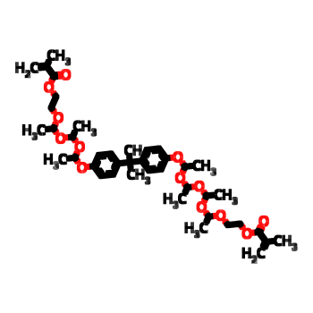 C=C(C)C(=O)OCCOC(C)OC(C)OC(C)Oc1ccc(C(C)(C)c2ccc(OC(C)OC(C)OC(C)OC(C)OCCOC(=O)C(=C)C)cc2)cc1